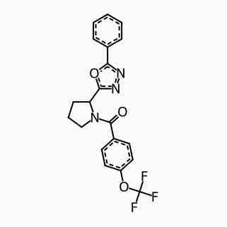 O=C(c1ccc(OC(F)(F)F)cc1)N1CCCC1c1nnc(-c2ccccc2)o1